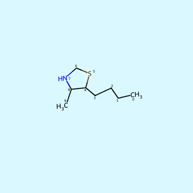 CCCCC1SCNC1C